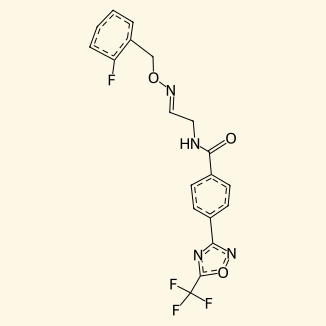 O=C(NCC=NOCc1ccccc1F)c1ccc(-c2noc(C(F)(F)F)n2)cc1